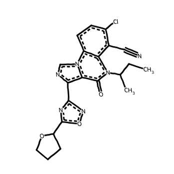 CCC(C)n1c(=O)c2c(-c3noc(C4CCCO4)n3)ncn2c2ccc(Cl)c(C#N)c21